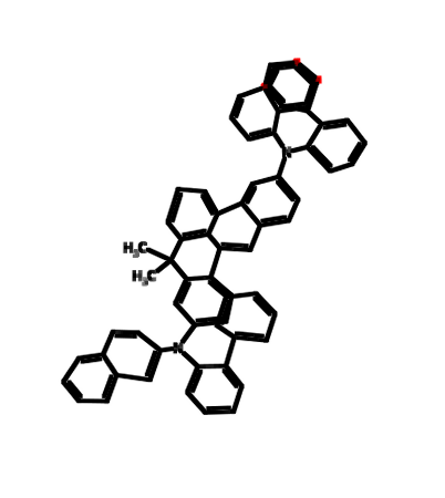 CC1(C)c2cc(N(c3ccc4ccccc4c3)c3ccccc3-c3ccccc3)ccc2-c2cc3ccc(N(c4ccccc4-c4ccccc4)c4cccc5ccccc45)cc3c3cccc1c23